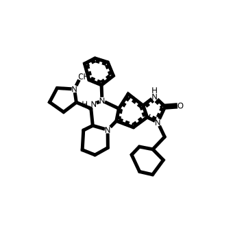 CN1CCCC1CC1CCCCN1c1cc2c(cc1N(N)c1ccccc1)[nH]c(=O)n2CC1CCCCC1